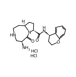 Cl.Cl.N[C@H]1CNCC[C@H]2CC[C@@H](C(=O)N[C@@H]3CCOc4ccccc43)N2C1=O